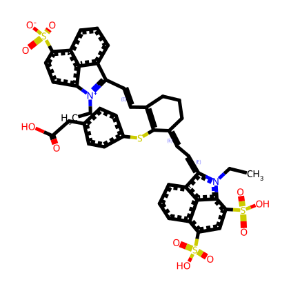 CCn1/c(=C/C=C2\CCCC(/C=C/C3=[N+](CC)c4ccc(S(=O)(=O)[O-])c5cccc3c45)=C2Sc2ccc(CC(=O)O)cc2)c2cccc3c(S(=O)(=O)O)cc(S(=O)(=O)O)c1c32